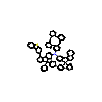 c1ccc(C2(c3ccccc3)c3cc(N(c4ccc5c(c4)-c4ccccc4Cc4ccccc4-c4ccccc4C5)c4ccc5c(c4)-c4c(ccc6ccccc46)C5(c4ccccc4)c4ccccc4)ccc3-c3c(-c4ccc5sc6ccccc6c5c4)cccc32)cc1